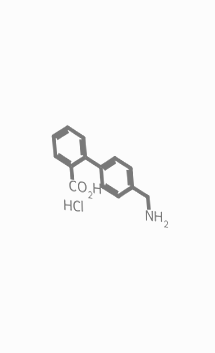 Cl.NCc1ccc(-c2ccccc2C(=O)O)cc1